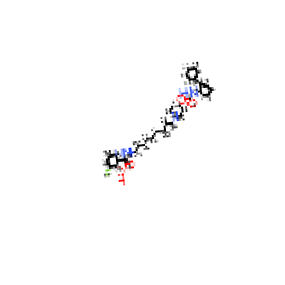 O=C(Nc1ccccc1-c1ccccc1)OC1CCN(CCCCCCCCCNC(=O)c2cccc(F)c2O)CC1